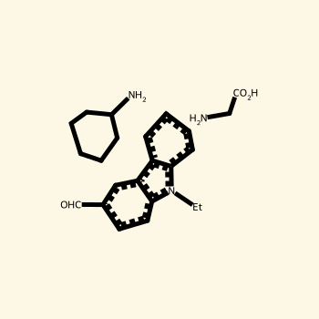 CCn1c2ccccc2c2cc(C=O)ccc21.NC1CCCCC1.NCC(=O)O